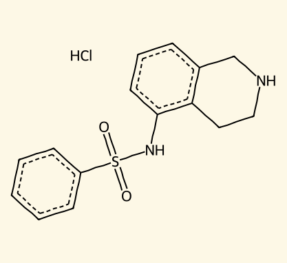 Cl.O=S(=O)(Nc1cccc2c1CCNC2)c1ccccc1